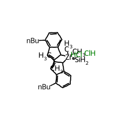 CCCCc1cccc2c1C=C(C)[CH]2[Zr]([CH3])([CH3])(=[SiH2])[CH]1C(C)=Cc2c(CCCC)cccc21.Cl.Cl